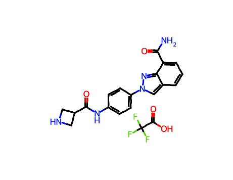 NC(=O)c1cccc2cn(-c3ccc(NC(=O)C4CNC4)cc3)nc12.O=C(O)C(F)(F)F